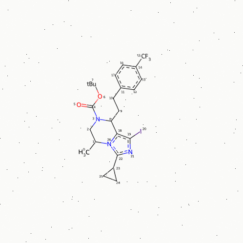 CC1CN(C(=O)OC(C)(C)C)C(CCc2ccc(C(F)(F)F)cc2)c2c(I)nc(C3CC3)n21